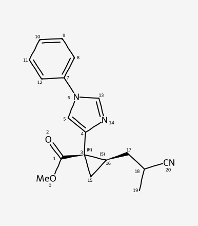 COC(=O)[C@]1(c2cn(-c3ccccc3)cn2)C[C@@H]1CC(C)C#N